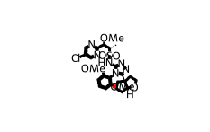 COc1cccc(OC)c1-n1c(NS(=O)(=O)[C@@H](C)[C@H](OC)c2ncc(Cl)cn2)nnc1[C@]12CCC[C@H]1OCC2